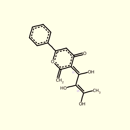 C=c1oc(-c2ccccc2)cc(=O)/c1=C(O)/C(O)=C(\C)O